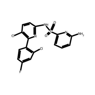 Nc1cccc(S(=O)(=O)Nc2ccc(Cl)c(-c3ccc(F)cc3Cl)n2)n1